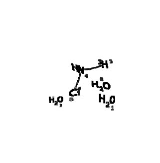 O.O.O.[3H]NCl